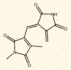 C=C1C(=O)NC(=O)/C1=C/C1=C(C)C(=O)N(C)C1=O